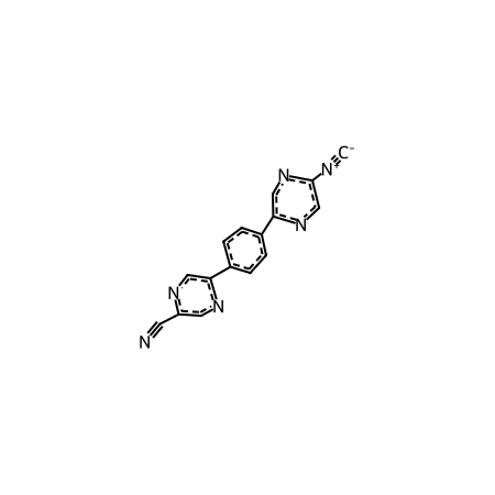 [C-]#[N+]c1cnc(-c2ccc(-c3cnc(C#N)cn3)cc2)cn1